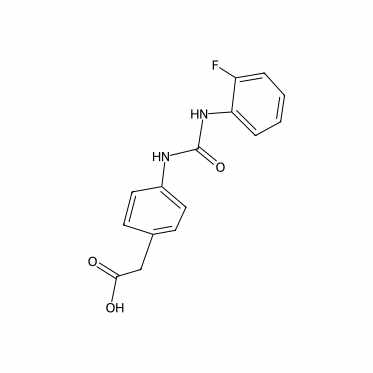 O=C(O)Cc1ccc(NC(=O)Nc2ccccc2F)cc1